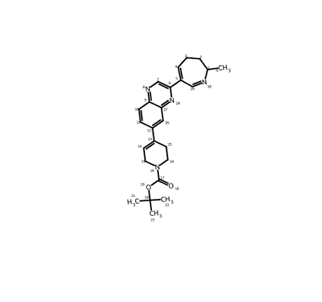 CC1CCC=C(c2cnc3ccc(C4=CCN(C(=O)OC(C)(C)C)CC4)cc3n2)C=N1